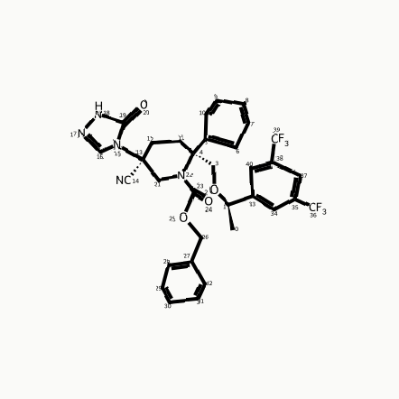 C[C@@H](OC[C@@]1(c2ccccc2)CC[C@](C#N)(n2cn[nH]c2=O)CN1C(=O)OCc1ccccc1)c1cc(C(F)(F)F)cc(C(F)(F)F)c1